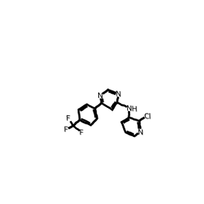 FC(F)(F)c1ccc(-c2cc(Nc3cccnc3Cl)ncn2)cc1